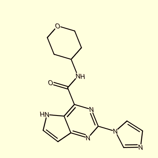 O=C(NC1CCOCC1)c1nc(-n2ccnc2)nc2cc[nH]c12